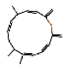 C=C1/C=C\C=C(\C)C(C)C/C=C\C(C)/C=C\C(=C)S1